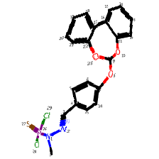 CN(/N=C/c1ccc(OC2Oc3ccccc3-c3ccccc3O2)cc1)P(=S)(Cl)Cl